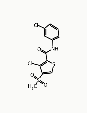 CS(=O)(=O)c1csc(C(=O)Nc2cccc(Cl)c2)c1Cl